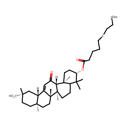 CCCCCCCCCCCCCCCCCC(=O)O[C@H]1CC[C@@]2(C)C(CC[C@]3(C)[C@@H]2C(=O)C=C2[C@H]4C[C@@](C)(C(=O)O)CC[C@]4(C)CC[C@]23C)C1(C)C